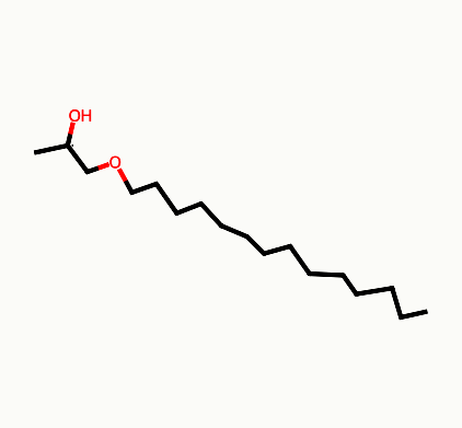 CCCCCCCCCCCCCCOC[C](C)O